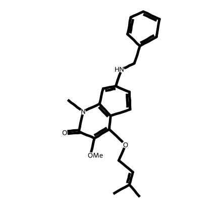 COc1c(OCC=C(C)C)c2ccc(NCc3ccccc3)cc2n(C)c1=O